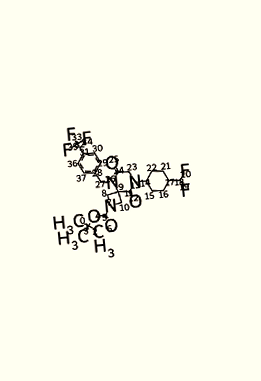 CC(C)(C)OC(=O)N1CC2(C1)C(=O)N(C1CCC(C(F)F)CC1)CC(=O)N2Cc1ccc(C(F)(F)F)cc1